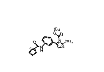 CC(C)(C)OC(=O)n1c(-c2cccc(NC(=O)c3cccs3)c2)cnc1N